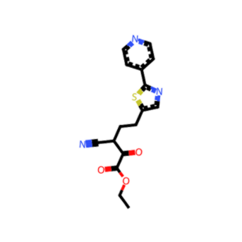 CCOC(=O)C(=O)C(C#N)CCc1cnc(-c2ccncc2)s1